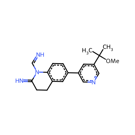 COC(C)(C)c1cncc(-c2ccc3c(c2)CCC(=N)N3C=N)c1